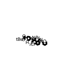 Cc1c(-c2c(Cl)ccc3c2cnn3C2CCCCO2)c(Br)nn1C1CCN(C(=O)OC(C)(C)C)CC1